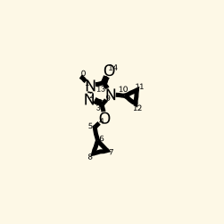 Cn1nc(OCC2CC2)n(C2CC2)c1=O